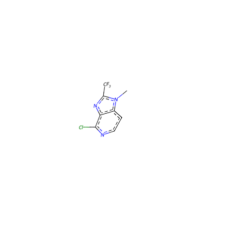 Cn1c(C(F)(F)F)nc2c(Cl)nccc21